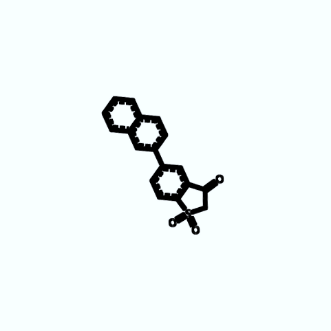 O=C1CS(=O)(=O)c2ccc(-c3ccc4ccccc4c3)cc21